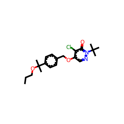 CCCOC(C)(C)c1ccc(COc2cnn(C(C)(C)C)c(=O)c2Cl)cc1